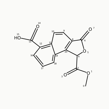 COC(=O)C1OC(=O)c2ccc3c(C(=O)O)cccc3c21